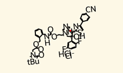 C[C@@H](c1nc(-c2ccc(C#N)cc2)cs1)[C@](O)(C[N+]1(CCOC(=O)Nc2ccccc2COC(=O)CN(C)C(=O)C(C)(C)C)C=NC=N1)c1cc(F)ccc1F.Cl.[Cl-]